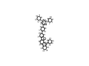 c1ccc(-c2nc(-c3ccccc3)nc(-c3ccc(-c4ccc5c(c4)oc4c5ccc5c6ccccc6n(-c6ccccc6)c54)cc3)n2)cc1